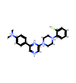 CN(C)c1ccc(-c2cncc(N3CCN(c4ccccc4F)CC3)n2)cc1